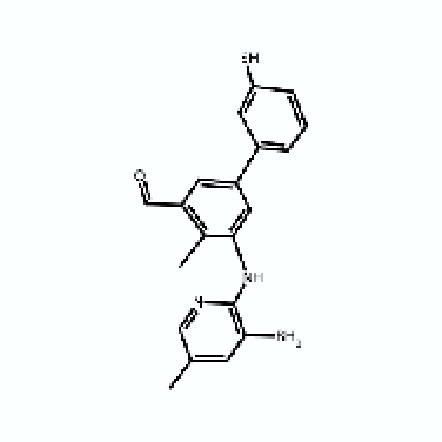 Bc1cc(C)cnc1Nc1cc(-c2cccc(S)c2)cc(C=O)c1C